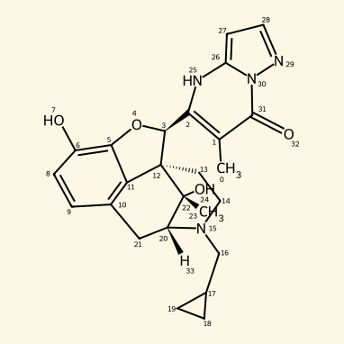 Cc1c([C@@H]2Oc3c(O)ccc4c3[C@@]23CCN(CC2CC2)[C@H](C4)[C@@]3(C)O)[nH]c2ccnn2c1=O